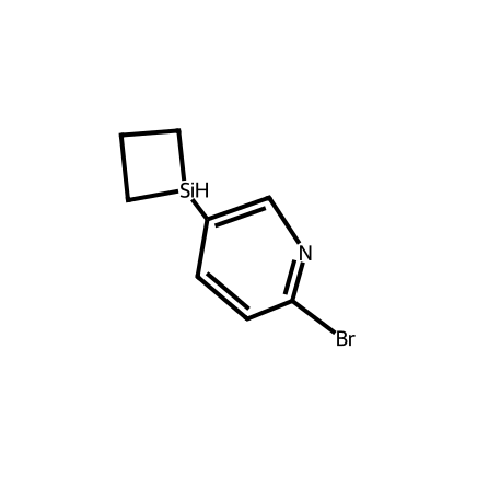 Brc1ccc([SiH]2CCC2)cn1